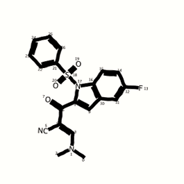 CN(C)C=C(C#N)C(=O)c1cc2cc(F)ccc2n1S(=O)(=O)c1ccccc1